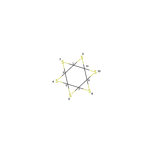 S1C23SC24SC42SC24SC42SC132